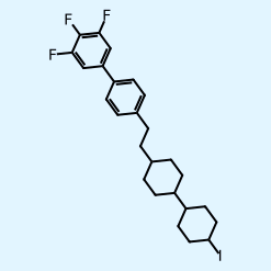 Fc1cc(-c2ccc(CCC3CCC(C4CCC(I)CC4)CC3)cc2)cc(F)c1F